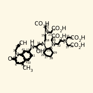 C#CCn1c(=O)cc(C)c2ccc(NC(O)CN(CCN(CC(=O)O)CC(=O)O)[C@@H]3CCCC[C@H]3N(CCN(CC(=O)O)CC(=O)O)CC(=O)O)cc21